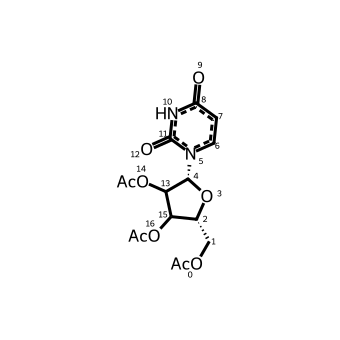 CC(=O)OC[C@H]1O[C@@H](n2ccc(=O)[nH]c2=O)C(OC(C)=O)C1OC(C)=O